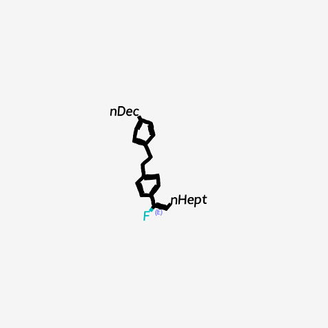 CCCCCCC/C=C(/F)c1ccc(CCc2ccc(CCCCCCCCCC)cc2)cc1